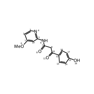 COc1ccnc(NC(=O)CC(=O)c2ccc(O)cc2)c1